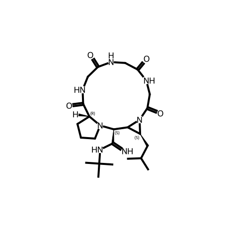 CC(C)C[C@H]1C2[C@@H](C(=N)NC(C)(C)C)N3CCC[C@@H]3C(=O)NCC(=O)NCC(=O)NCC(=O)N21